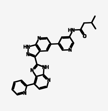 CC(C)CC(=O)Nc1cncc(-c2cnc3[nH]nc(-c4nc5c(-c6ccccn6)ccnc5[nH]4)c3c2)c1